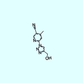 Cc1cc(-n2cc(CO)nn2)ncc1C#N